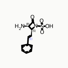 N[C@H]1C(=O)N(S(=O)(=O)O)[C@H]1/C=C/c1ccccc1